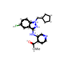 COC(=O)c1ccncc1Nc1nn(CC2CCCC2)c2ccc(F)cc12